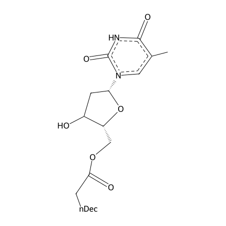 CCCCCCCCCCCC(=O)OC[C@H]1O[C@@H](n2cc(C)c(=O)[nH]c2=O)CC1O